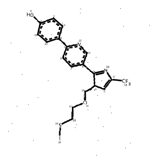 Oc1ccc(-c2ccc(C3=NC(C(F)(F)F)=CC3COCCSI)cn2)cc1